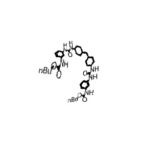 CCCCOC(=O)Nc1cccc(NC(=O)NC2CCC(CC3CCC(NC(=O)Nc4cccc(NC(=O)OCCCC)c4)CC3)CC2)c1